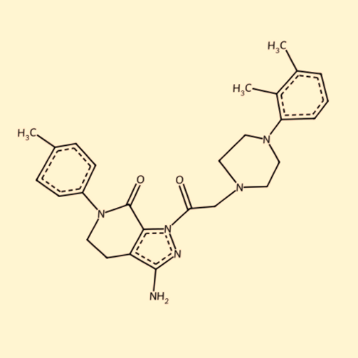 Cc1ccc(N2CCc3c(N)nn(C(=O)CN4CCN(c5cccc(C)c5C)CC4)c3C2=O)cc1